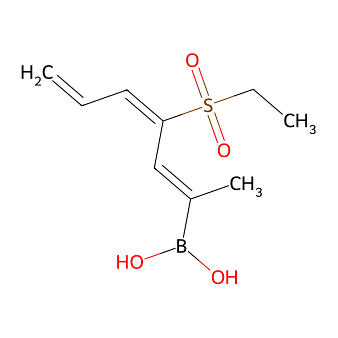 C=C/C=C(\C=C(/C)B(O)O)S(=O)(=O)CC